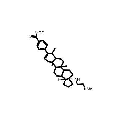 CNCCN[C@]12CCC[C@@H]1C1CCC3C4(C)CC=C(c5ccc(C(=O)OC)cc5)C(C)C4CCC3(C)C1CC2